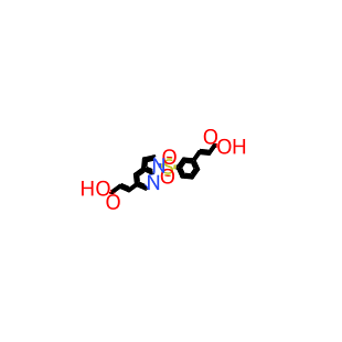 O=C(O)C=Cc1cccc(S(=O)(=O)n2ccc3cc(C=CC(=O)O)cnc32)c1